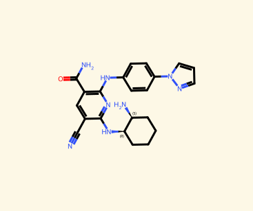 N#Cc1cc(C(N)=O)c(Nc2ccc(-n3cccn3)cc2)nc1N[C@@H]1CCCC[C@@H]1N